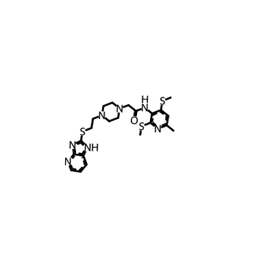 CSc1cc(C)nc(SC)c1NC(=O)CN1CCN(CCSc2nc3ncccc3[nH]2)CC1